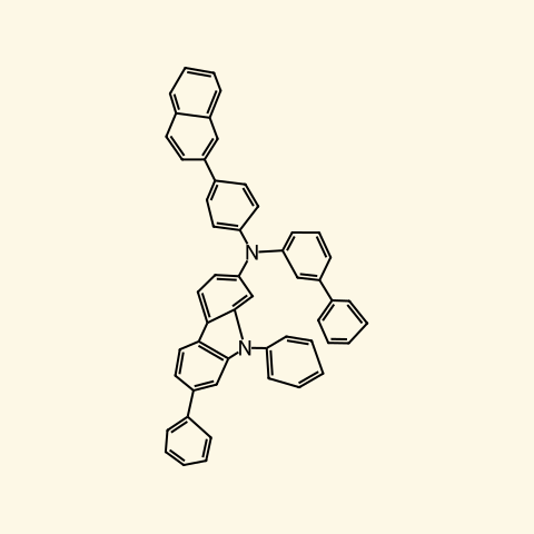 c1ccc(-c2cccc(N(c3ccc(-c4ccc5ccccc5c4)cc3)c3ccc4c5ccc(-c6ccccc6)cc5n(-c5ccccc5)c4c3)c2)cc1